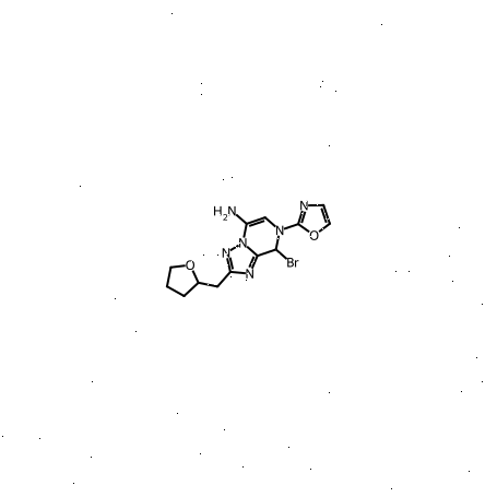 NC1=CN(c2ncco2)C(Br)c2nc(CC3CCCO3)nn21